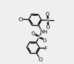 CS(=O)(=O)c1ccc(Cl)cc1NS(=O)(=O)c1cccc(Cl)c1F